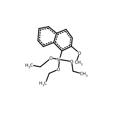 CCO[Si](OCC)(OCC)c1c(OC)ccc2ccccc12